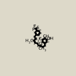 CC(=CCCC1(C)CCc2cc(O)c(C)c(C)c2O1)CCc1cccc(C(F)(F)F)c1